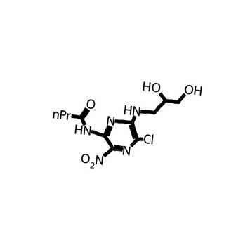 CCCC(=O)Nc1nc(NCC(O)CO)c(Cl)nc1[N+](=O)[O-]